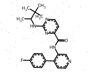 CC(Nc1nccc(C(=O)Nc2cnccc2-c2ccc(F)cc2)n1)C(C)(C)C